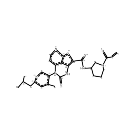 C=CC(=O)N1CCCC(NC(=O)c2sc3nccc4c3c2NC(=O)N4c2cnc(CC(C)C)cc2C)C1